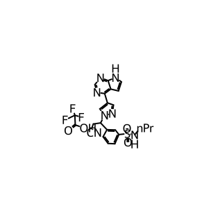 CCCNS(=O)(=O)c1cccc(C(CC#N)n2cc(-c3ncnc4[nH]ccc34)cn2)c1.O=C(O)C(F)(F)F